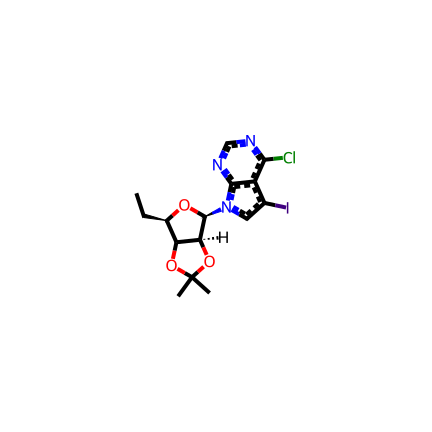 CC[C@H]1O[C@@H](n2cc(I)c3c(Cl)ncnc32)[C@H]2OC(C)(C)OC12